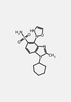 Cc1nc2c(N3NC=CO3)c(S(N)(=O)=O)ccc2n1C1CCCCC1